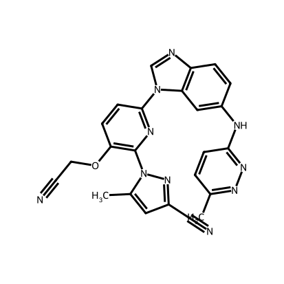 Cc1ccc(Nc2ccc3ncn(-c4ccc(OCC#N)c(-n5nc(C#N)cc5C)n4)c3c2)nn1